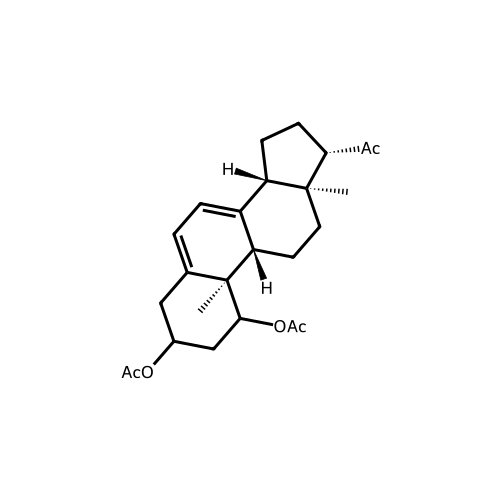 CC(=O)OC1CC2=CC=C3[C@@H]4CC[C@H](C(C)=O)[C@@]4(C)CC[C@@H]3[C@@]2(C)C(OC(C)=O)C1